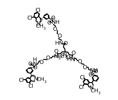 CN1Cc2c(Cl)cc(Cl)cc2C(c2cccc(S(=O)(=O)NCCOCCOCCNC(=O)CCC(CCC(=O)NCCOCCOCCNS(=O)(=O)c3cccc([C@@H]4CN(C)Cc5c(Cl)cc(Cl)cc54)c3)(CCC(=O)NCCOCCOCCNS(=O)(=O)c3cccc([C@@H]4CN(C)Cc5c(Cl)cc(Cl)cc54)c3)N(C)C)c2)C1